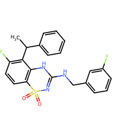 CC(c1ccccc1)c1c(F)ccc2c1NC(NCc1cccc(F)c1)=NS2(=O)=O